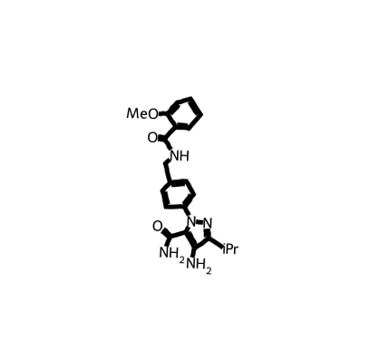 COc1ccccc1C(=O)NCc1ccc(-n2nc(C(C)C)c(N)c2C(N)=O)cc1